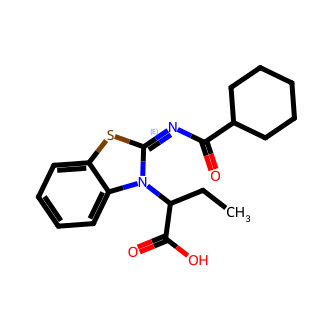 CCC(C(=O)O)n1/c(=N\C(=O)C2CCCCC2)sc2ccccc21